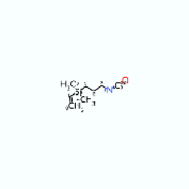 C=C[Si](C)(C)CCCN=C=O